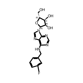 OC[C@H]1O[C@@H](n2cnc3c(NCc4cccc(F)c4)ncnc32)[C@H](O)[C@@H]1O